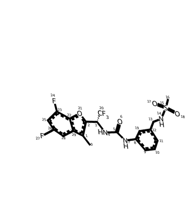 Cc1c([C@@H](NC(=O)Nc2cccc(CNS(C)(=O)=O)c2)C(F)(F)F)oc2c(F)cc(F)cc12